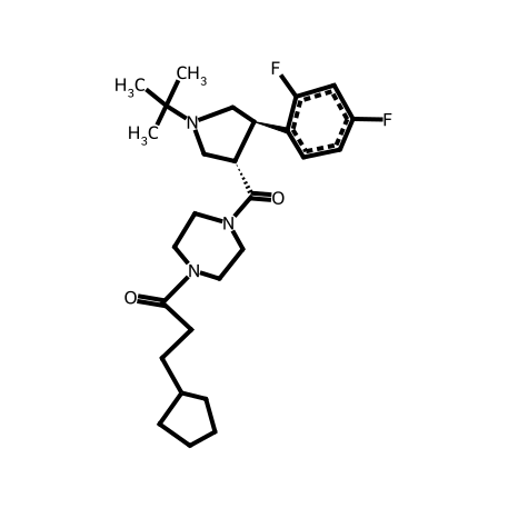 CC(C)(C)N1C[C@@H](C(=O)N2CCN(C(=O)CCC3CCCC3)CC2)[C@H](c2ccc(F)cc2F)C1